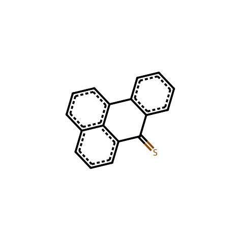 S=C1c2ccccc2-c2cccc3cccc1c23